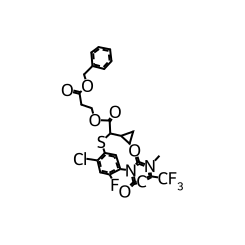 Cn1c(C(F)(F)F)cc(=O)n(-c2cc(SC(C(=O)OCCC(=O)OCc3ccccc3)C3CC3)c(Cl)cc2F)c1=O